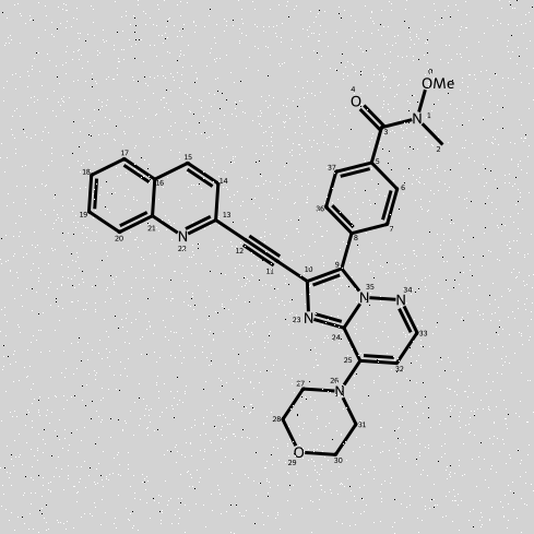 CON(C)C(=O)c1ccc(-c2c(C#Cc3ccc4ccccc4n3)nc3c(N4CCOCC4)ccnn23)cc1